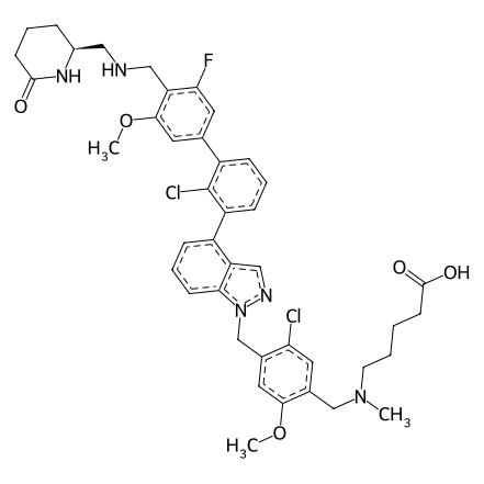 COc1cc(Cn2ncc3c(-c4cccc(-c5cc(F)c(CNC[C@@H]6CCCC(=O)N6)c(OC)c5)c4Cl)cccc32)c(Cl)cc1CN(C)CCCCC(=O)O